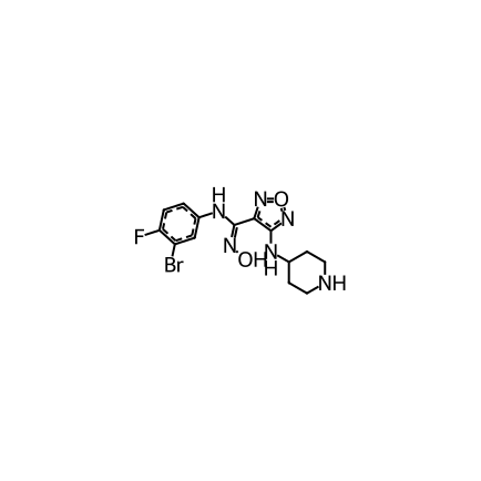 ON=C(Nc1ccc(F)c(Br)c1)c1nonc1NC1CCNCC1